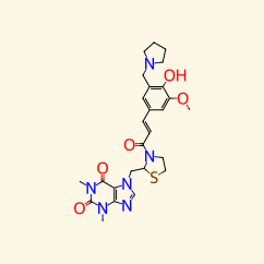 COc1cc(C=CC(=O)N2CCSC2Cn2cnc3c2c(=O)n(C)c(=O)n3C)cc(CN2CCCC2)c1O